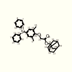 Cc1cc([SH](c2ccccc2)c2ccccc2)cc(C)c1OCC(=O)OC12CC3CC(CC(C3)C1)C2